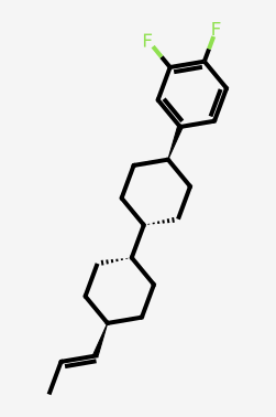 CC=C[C@H]1CC[C@H]([C@H]2CC[C@H](c3ccc(F)c(F)c3)CC2)CC1